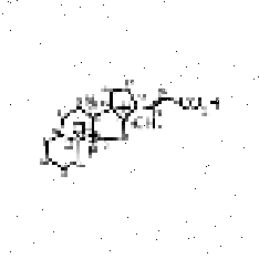 C[C@]12CC[C@H]3[C@@H](CCC4CCCC[C@@]43C)[C@@H]1CC[C@H]2/C=C/C(=O)O